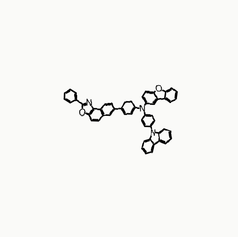 C1=C(c2ccc3c(ccc4oc(-c5ccccc5)nc43)c2)CCC(N(c2ccc(-n3c4ccccc4c4ccccc43)cc2)c2ccc3oc4ccccc4c3c2)=C1